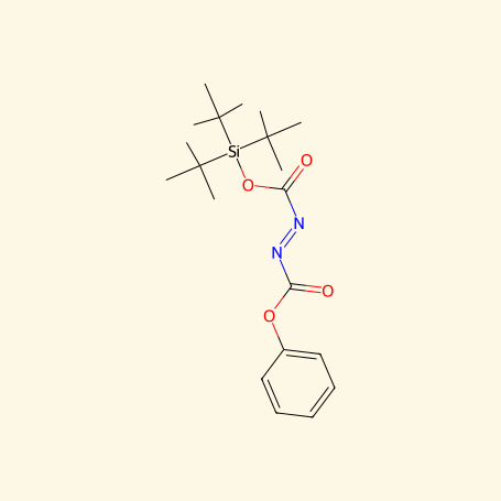 CC(C)(C)[Si](OC(=O)N=NC(=O)Oc1ccccc1)(C(C)(C)C)C(C)(C)C